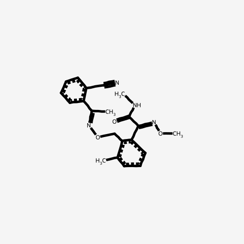 CNC(=O)/C(=N/OC)c1cccc(C)c1CO/N=C(\C)c1ccccc1C#N